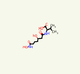 CC(C)C(NC(=O)CC(O)CCCC(=O)NO)C(=O)O